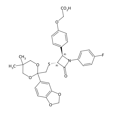 CC1(C)COC(CS[C@H]2C(=O)N(c3ccc(F)cc3)[C@@H]2c2ccc(OCC(=O)O)cc2)(c2ccc3c(c2)OCO3)OC1